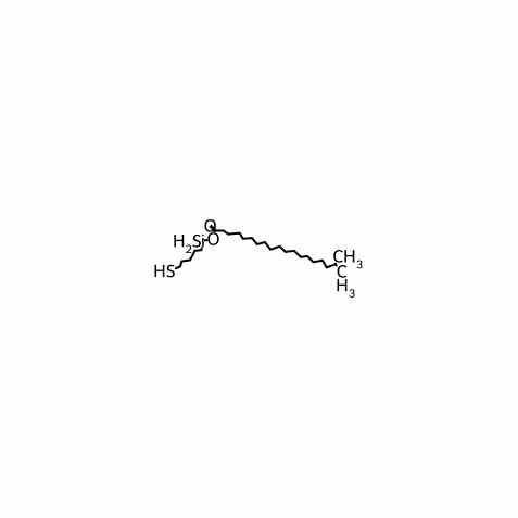 CC(C)CCCCCCCCCCCCCCCCC(=O)O[SiH2]CCCCCS